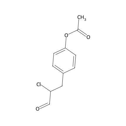 CC(=O)Oc1ccc(CC(Cl)C=O)cc1